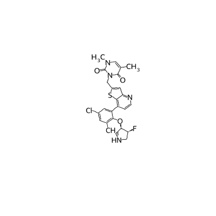 Cc1cc(Cl)cc(-c2ccnc3cc(Cn4c(=O)c(C)cn(C)c4=O)sc23)c1O[C@@H]1CNC[C@@H]1F